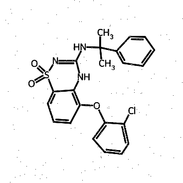 CC(C)(NC1=NS(=O)(=O)c2cccc(Oc3ccccc3Cl)c2N1)c1ccccc1